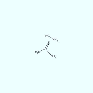 N#CN.NC(N)=S